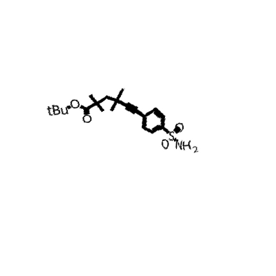 CC(C)(C#Cc1ccc(S(N)(=O)=O)cc1)CC(C)(C)C(=O)OC(C)(C)C